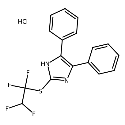 Cl.FC(F)C(F)(F)Sc1nc(-c2ccccc2)c(-c2ccccc2)[nH]1